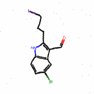 O=Cc1c(CCCI)[nH]c2ccc(Br)cc12